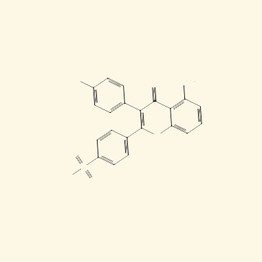 COc1cccc2oc(-c3ccc(S(C)(=O)=O)cc3)c(-c3ccc(F)cc3)c(=O)c12